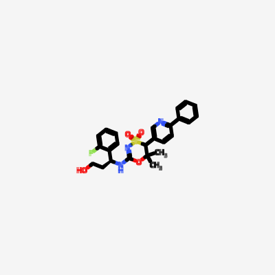 CC1(C)OC(N[C@@H](CCO)c2ccccc2F)=NS(=O)(=O)C1c1ccc(-c2ccccc2)nc1